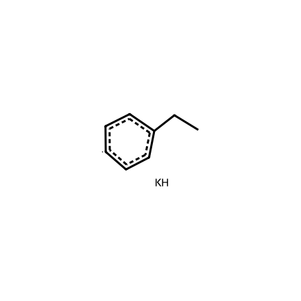 CCc1cc[c]cc1.[KH]